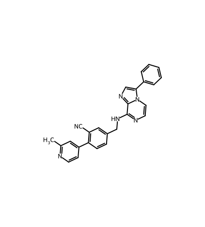 Cc1cc(-c2ccc(CNc3nccn4c(-c5ccccc5)cnc34)cc2C#N)ccn1